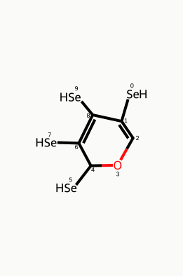 [SeH]C1=COC([SeH])C([SeH])=C1[SeH]